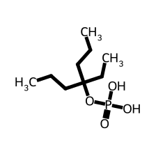 CCCC(CC)(CCC)OP(=O)(O)O